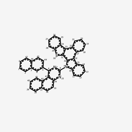 c1ccc2cc(-c3nc(-n4c5ccccc5c5c6ccccc6c6c7ccccc7sc6c54)nc4ccc5ccccc5c34)ccc2c1